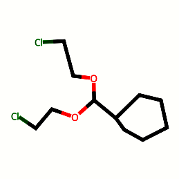 ClCCOC(OCCCl)C1CCCCC1